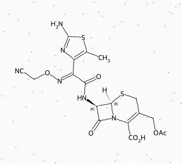 CC(=O)OCC1=C(C(=O)O)N2C(=O)[C@@H](NC(=O)C(=NOCC#N)c3nc(N)sc3C)[C@H]2SC1